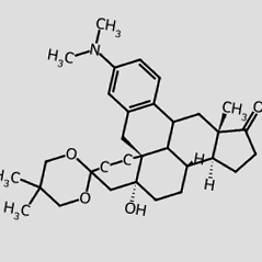 CN(C)c1ccc2c(c1)C[C@]13CCC4(C[C@]1(O)CC[C@@H]1C3C2C[C@]2(C)C(=O)CC[C@@H]12)OCC(C)(C)CO4